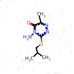 Cc1nnc(SCC(C)C)n(N)c1=O